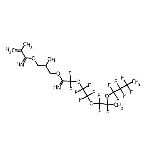 C=C(C)C(=N)OCC(O)COC(=N)C(F)(F)OC(F)(F)C(F)(F)OC(F)(F)C(C)(F)OC(F)(F)C(F)(F)C(F)(F)C(F)(F)F